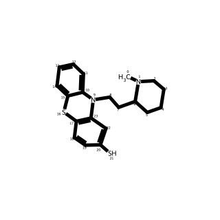 CN1CCCCC1CCN1c2ccccc2Sc2ccc(S)cc21